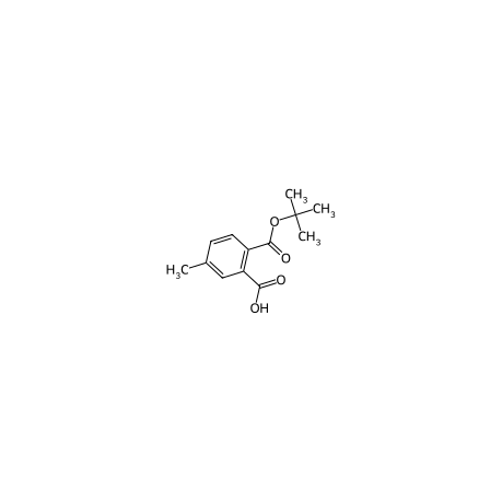 Cc1ccc(C(=O)OC(C)(C)C)c(C(=O)O)c1